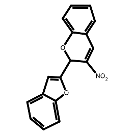 O=[N+]([O-])C1=Cc2ccccc2OC1c1cc2ccccc2o1